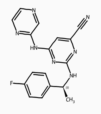 C[C@H](Nc1nc(C#N)cc(Nc2cnccn2)n1)c1ccc(F)cc1